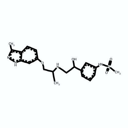 Cc1n[nH]c2cc(OCC(C)NCC(O)c3cccc(NS(C)(=O)=O)c3)ccc12